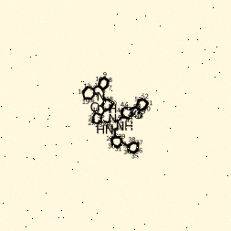 C1=C=C2C(=C(N3c4ccccc4C4C=CC=CC43)C=1)OC1C=CC=C(C3NC(c4cccc(-c5ccccc5)c4)NC(c4ccc5c(c4)oc4ccccc45)N3)C21